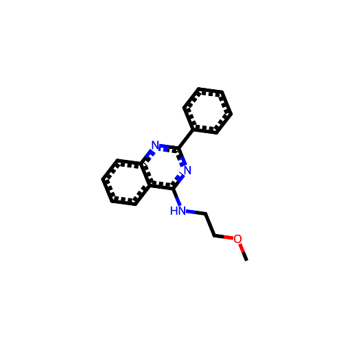 COCCNc1nc(-c2ccccc2)nc2ccccc12